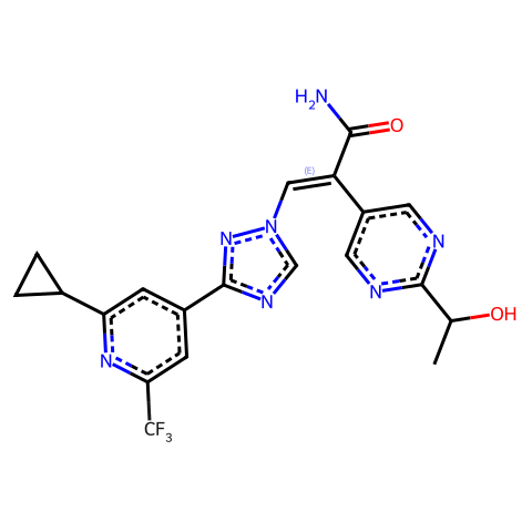 CC(O)c1ncc(/C(=C\n2cnc(-c3cc(C4CC4)nc(C(F)(F)F)c3)n2)C(N)=O)cn1